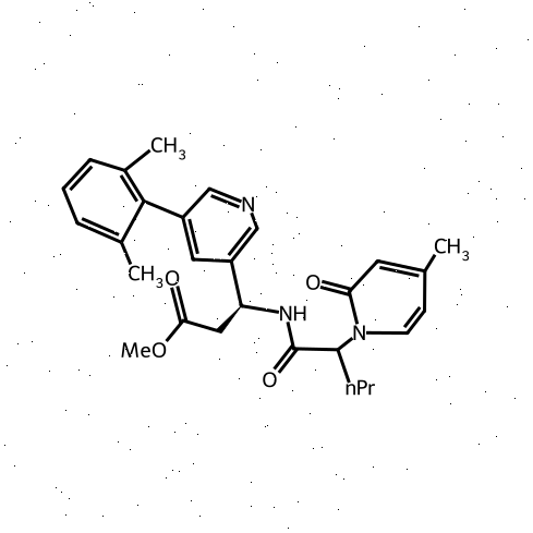 CCCC(C(=O)N[C@@H](CC(=O)OC)c1cncc(-c2c(C)cccc2C)c1)n1ccc(C)cc1=O